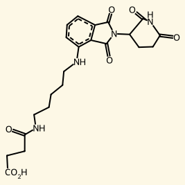 O=C(O)CCC(=O)NCCCCCNc1cccc2c1C(=O)N(C1CCC(=O)NC1=O)C2=O